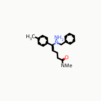 CNC(=O)CC/C=C(/c1ccc(C)cc1)N(N)Cc1ccccc1